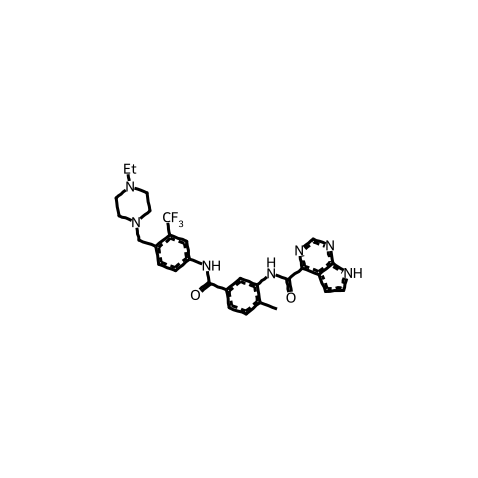 CCN1CCN(Cc2ccc(NC(=O)c3ccc(C)c(NC(=O)c4ncnc5[nH]ccc45)c3)cc2C(F)(F)F)CC1